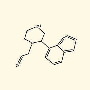 O=CCN1CCNCC1c1cccc2ccccc12